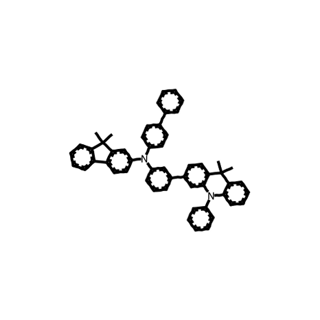 CC1(C)c2ccccc2-c2ccc(N(c3ccc(-c4ccccc4)cc3)c3cccc(-c4ccc5c(c4)N(c4ccccc4)c4ccccc4C5(C)C)c3)cc21